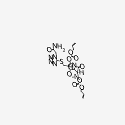 C=CCOC(=O)OC1=C(CSc2nnnn2CC(N)=O)C2OCN(OC(=O)OCC=C)[C@@H]3C(=O)N1[C@H]23